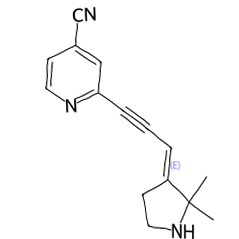 CC1(C)NCC/C1=C\C#Cc1cc(C#N)ccn1